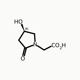 O=C(O)CN1C[C@H](O)CC1=O